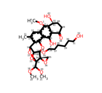 COc1c2c(c(O)c3c4c(c(C)cc13)C1OC3(C(OC)OC)OC1[C@@](OCCCCCCO)(O4)[C@@]31CO1)C(=O)CC[C@@H]2O